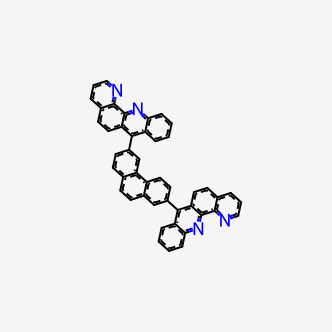 c1cnc2c(c1)ccc1c(-c3ccc4c(ccc5ccc(-c6c7ccccc7nc7c6ccc6cccnc67)cc54)c3)c3ccccc3nc12